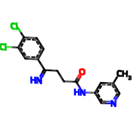 Cc1cncc(NC(=O)CCC(=N)c2ccc(Cl)c(Cl)c2)c1